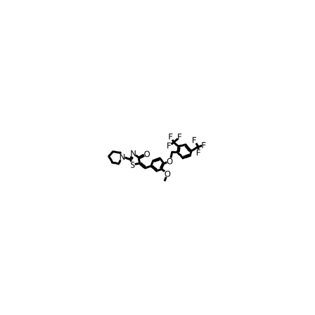 COc1cc(C=C2SC(N3CCCCC3)=NC2=O)ccc1OCc1ccc(C(F)(F)F)cc1C(F)(F)F